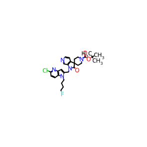 CC(C)(C)OC(=O)N1CCC2(CC1)C(=O)N(Cc1cc3nc(Cl)ccc3n1CCCCF)c1cnccc12